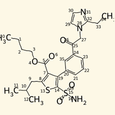 CCCCOC(=O)c1c(CC(C)C)sc(S(N)(=O)=O)c1-c1cccc(C(=O)Cn2ccnc2CC)c1